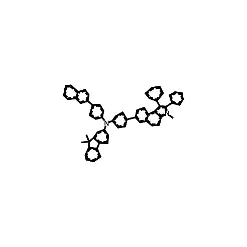 Cn1c(-c2ccccc2)c(-c2ccccc2)c2c3ccc(-c4ccc(N(c5ccc(-c6ccc7ccccc7c6)cc5)c5ccc6c(c5)C(C)(C)c5ccccc5-6)cc4)cc3ccc21